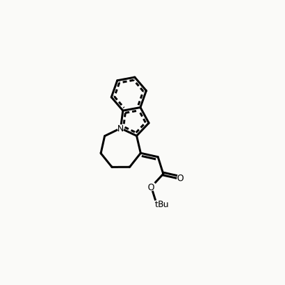 CC(C)(C)OC(=O)C=C1CCCCn2c1cc1ccccc12